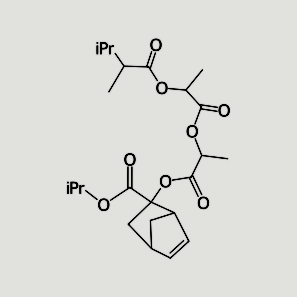 CC(C)OC(=O)C1(OC(=O)C(C)OC(=O)C(C)OC(=O)C(C)C(C)C)CC2C=CC1C2